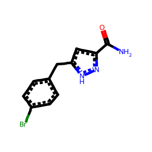 NC(=O)c1cc(Cc2ccc(Br)cc2)[nH]n1